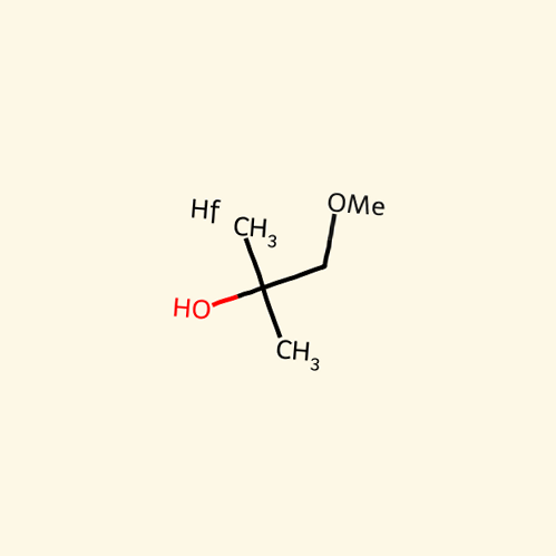 COCC(C)(C)O.[Hf]